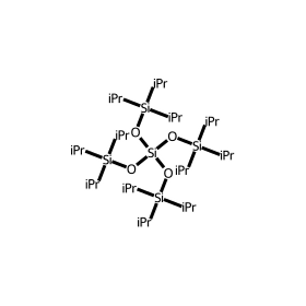 CC(C)[Si](O[Si](O[Si](C(C)C)(C(C)C)C(C)C)(O[Si](C(C)C)(C(C)C)C(C)C)O[Si](C(C)C)(C(C)C)C(C)C)(C(C)C)C(C)C